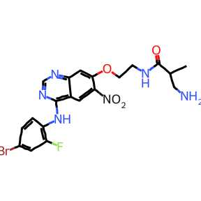 CC(CN)C(=O)NCCOc1cc2ncnc(Nc3ccc(Br)cc3F)c2cc1[N+](=O)[O-]